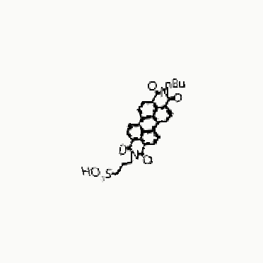 CCCCN1C(=O)c2ccc3c4ccc5c6c(ccc(c7ccc(c2c37)C1=O)c64)C(=O)N(CCCS(=O)(=O)O)C5=O